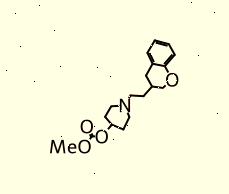 COC(=O)OC1CCN(CCC2COc3ccccc3C2)CC1